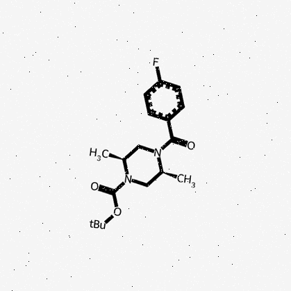 C[C@H]1CN(C(=O)c2ccc(F)cc2)[C@@H](C)CN1C(=O)OC(C)(C)C